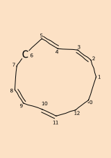 [CH]1C/C=C\C=C\CC/C=C\C=C\C1